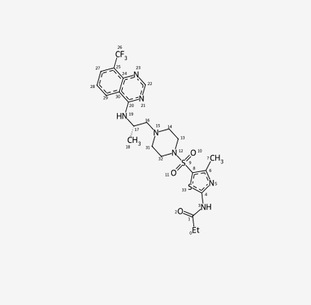 CCC(=O)Nc1nc(C)c(S(=O)(=O)N2CCN(C[C@H](C)Nc3ncnc4c(C(F)(F)F)cccc34)CC2)s1